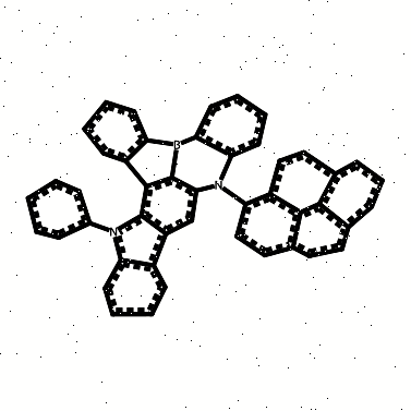 c1ccc(-n2c3ccccc3c3cc4c5c(c32)-c2ccccc2B5c2ccccc2N4c2ccc3ccc4cccc5ccc2c3c45)cc1